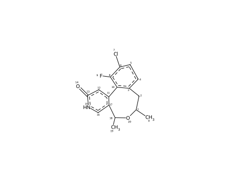 CC1Cc2ccc(Cl)c(F)c2-c2cc(=O)[nH]cc2C(C)O1